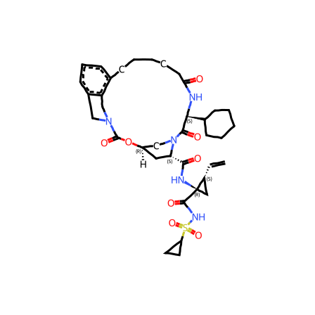 C=C[C@@H]1C[C@]1(NC(=O)[C@@H]1C[C@@H]2CN1C(=O)[C@H](C1CCCCC1)NC(=O)CCCCCc1cccc3c1CN(C3)C(=O)O2)C(=O)NS(=O)(=O)C1CC1